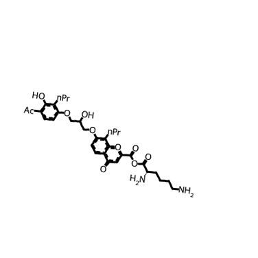 CCCc1c(OCC(O)COc2ccc3c(=O)cc(C(=O)OC(=O)[C@@H](N)CCCCN)oc3c2CCC)ccc(C(C)=O)c1O